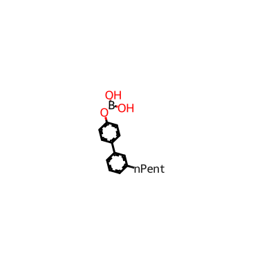 CCCCCc1cccc(-c2ccc(OB(O)O)cc2)c1